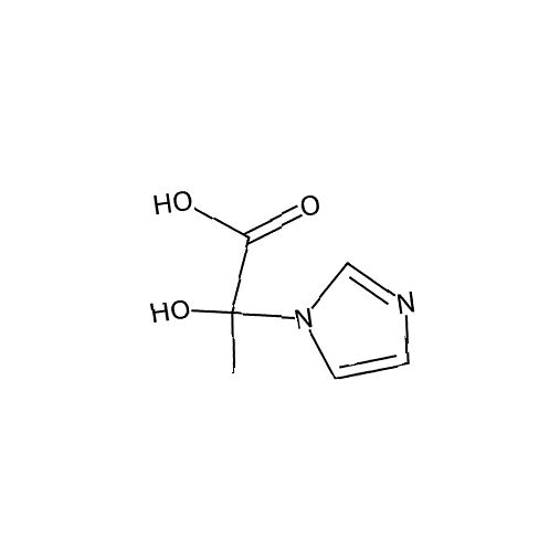 CC(O)(C(=O)O)n1ccnc1